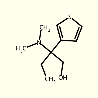 CCC(CO)(c1ccsc1)N(C)C